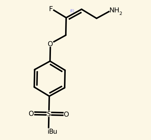 CCC(C)S(=O)(=O)c1ccc(OC/C(F)=C\CN)cc1